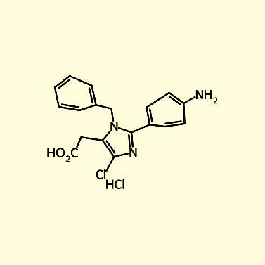 Cl.Nc1ccc(-c2nc(Cl)c(CC(=O)O)n2Cc2ccccc2)cc1